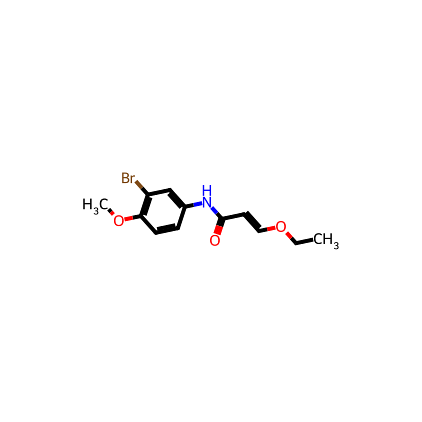 CCO/C=C/C(=O)Nc1ccc(OC)c(Br)c1